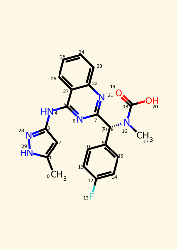 Cc1cc(Nc2nc([C@@H](c3ccc(F)cc3)N(C)C(=O)O)nc3ccccc23)n[nH]1